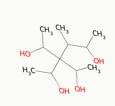 CC(O)C(C)C(C(C)O)(C(C)O)C(C)O